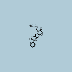 CC[C@@H](Oc1cc2c(cc1Cl)N(CCC(=O)O)C(=O)CO2)c1ncccn1